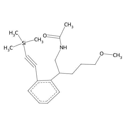 COCCCC(CNC(C)=O)c1ccccc1C#C[Si](C)(C)C